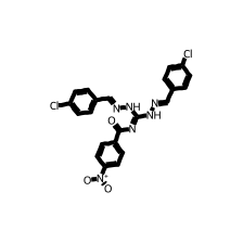 O=C(N=C(N/N=C/c1ccc(Cl)cc1)N/N=C/c1ccc(Cl)cc1)c1ccc([N+](=O)[O-])cc1